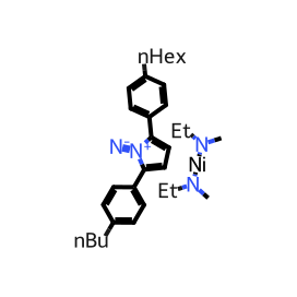 CCCCCCc1ccc(C2=CC=C(c3ccc(CCCC)cc3)[N+]2=[N-])cc1.CC[N](C)[Ni][N](C)CC